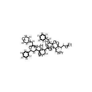 CCOCCC(=O)C(CC(C)C)NC(=O)C(Cc1ccccc1)NC(=O)C(CC(C)C)NC(=O)C(CCc1ccccc1)NC(=O)CN1CCOCC1